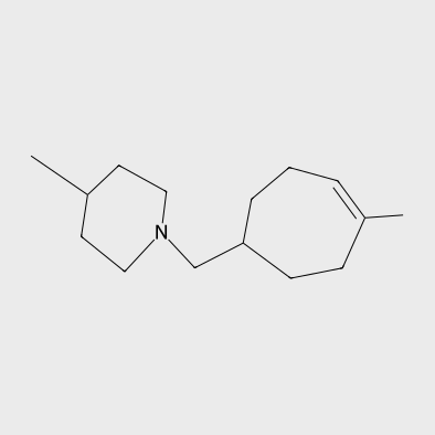 CC1=CCCC(CN2CCC(C)CC2)CC1